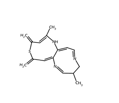 C=C1/C=C(\C)N/C2=C/C=N/CC(C)/C=N\C2=C\C(=C)S1